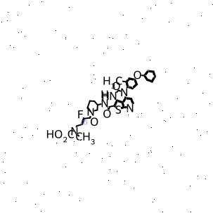 Cc1cc(Oc2ccccc2)ccc1N1C(=O)Nc2c(C(=O)NC3CCCN(C(=O)/C(F)=C/CN(C)C(=O)O)C3)sc3nccc1c23